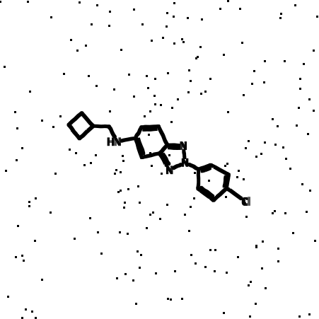 Clc1ccc(-n2nc3ccc(NCC4CCC4)cc3n2)cc1